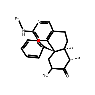 CCNc1ncc2c(n1)[C@@]1(c3ccccc3)CC(C#N)C(=O)[C@@H](C)[C@@H]1CC2